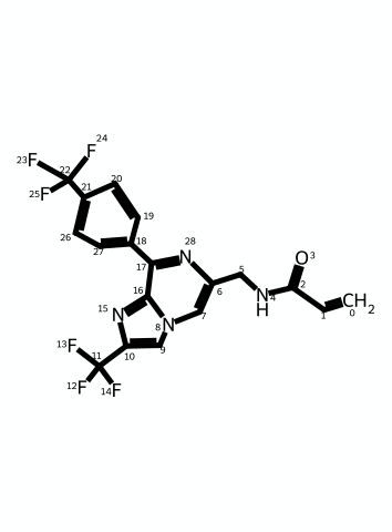 C=CC(=O)NCc1cn2cc(C(F)(F)F)nc2c(-c2ccc(C(F)(F)F)cc2)n1